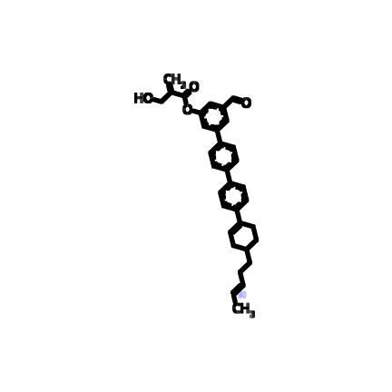 C=C(CO)C(=O)Oc1cc(C=O)cc(-c2ccc(-c3ccc(C4=CCC(CC/C=C/C)CC4)cc3)cc2)c1